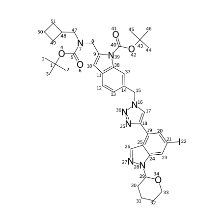 CC(C)(C)OC(=O)N(Cc1cc2ccc(Cn3cc(-c4cc(I)cc5c4cnn5C4CCCCO4)nn3)cc2n1C(=O)OC(C)(C)C)CC1CCC1